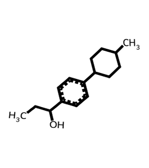 CCC(O)c1ccc(C2CCC(C)CC2)cc1